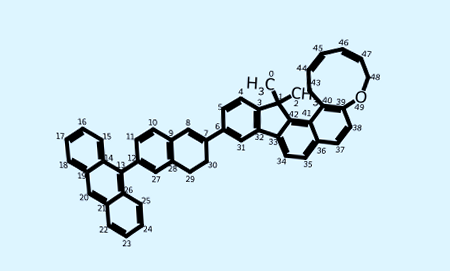 CC1(C)c2ccc(C3=Cc4ccc(-c5c6ccccc6cc6ccccc56)cc4CC3)cc2-c2ccc3ccc4c(c3c21)C/C=C\C=C/CO4